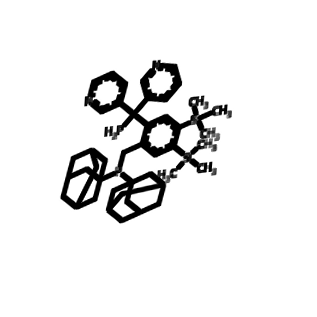 C[Si](C)(C)c1cc(CP(C23CC4CC(CC(C4)C2)C3)C23CC4CC(CC(C4)C2)C3)c(C(P)(c2cccnc2)c2cccnc2)cc1[Si](C)(C)C